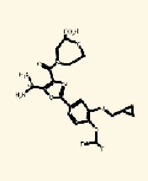 C[C@H](N)c1oc(-c2ccc(OC(F)F)c(OCC3CC3)c2)nc1C(=O)N1CCOC(C(=O)O)C1